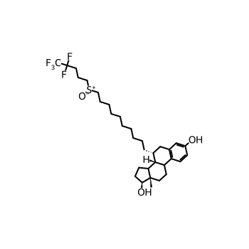 C[C@]12CCC3c4ccc(O)cc4C[C@@H](CCCCCCCCCC[S+]([O-])CCCC(F)(F)C(F)(F)F)[C@H]3C1CC[C@@H]2O